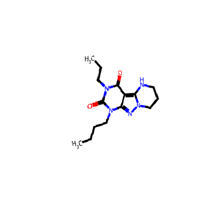 CCCCn1c(=O)n(CCC)c(=O)c2c3n(nc21)CCCN3